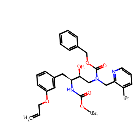 C=CCOc1cccc(C[C@H](NC(=O)OC(C)(C)C)[C@@H](O)CN(Cc2ncccc2C(C)C)C(=O)OCc2ccccc2)c1